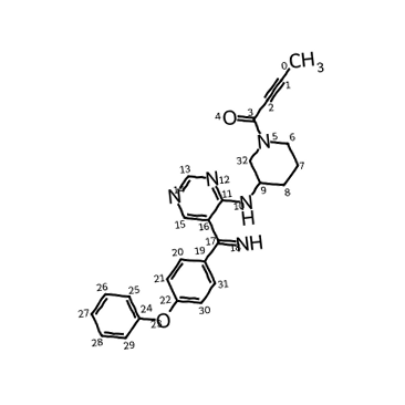 CC#CC(=O)N1CCCC(Nc2ncncc2C(=N)c2ccc(Oc3ccccc3)cc2)C1